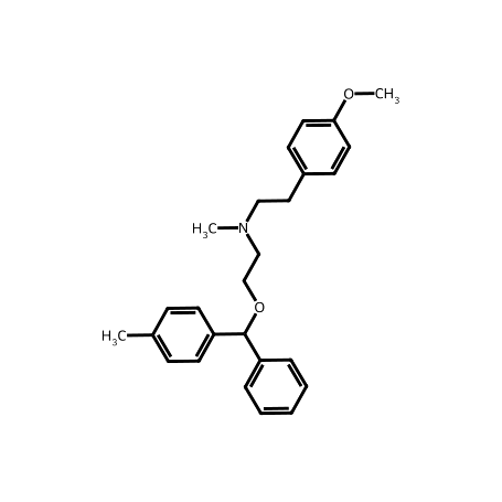 COc1ccc(CCN(C)CCOC(c2ccccc2)c2ccc(C)cc2)cc1